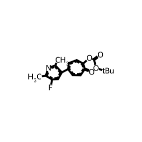 Cc1nc(C)c(-c2ccc(OC(=O)OC(C)(C)C)c(=O)cc2)cc1F